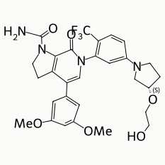 COc1cc(OC)cc(-c2cn(-c3cc(N4CC[C@H](OCCO)C4)ccc3C(F)(F)F)c(=O)c3c2CCN3C(N)=O)c1